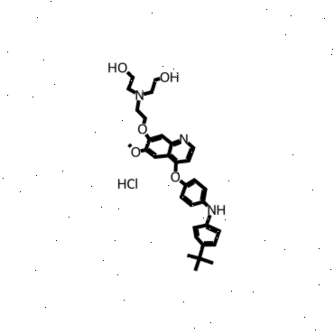 COc1cc2c(Oc3ccc(Nc4ccc(C(C)(C)C)cc4)cc3)ccnc2cc1OCCN(CCO)CCO.Cl